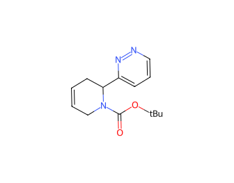 CC(C)(C)OC(=O)N1CC=CCC1c1cccnn1